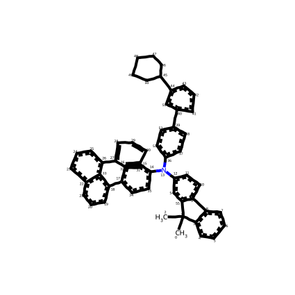 CC1(C)c2ccccc2-c2ccc(N(c3c#cc(-c4cccc5cccc(C6=CC=CCC6)c45)cc3)c3ccc(-c4cccc(C5CCCCC5)c4)cc3)cc21